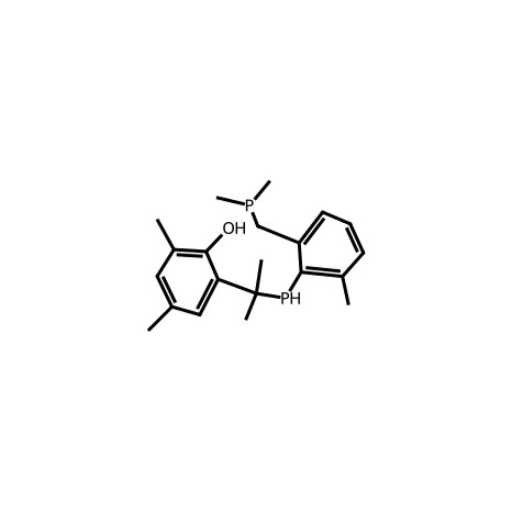 Cc1cc(C)c(O)c(C(C)(C)Pc2c(C)cccc2CP(C)C)c1